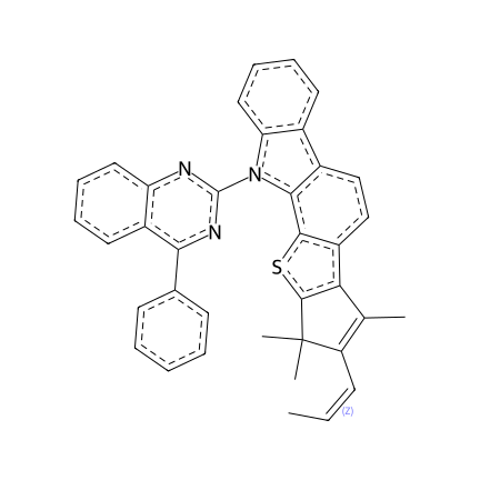 C/C=C\C1=C(C)c2c(sc3c2ccc2c4ccccc4n(-c4nc(-c5ccccc5)c5ccccc5n4)c23)C1(C)C